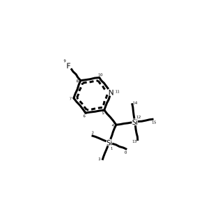 C[Si](C)(C)C(c1ccc(F)cn1)[Si](C)(C)C